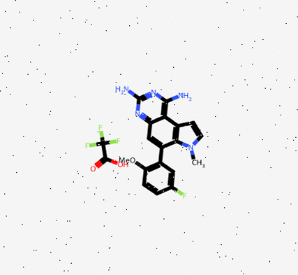 COc1ccc(F)cc1-c1cc2nc(N)nc(N)c2c2ccn(C)c12.O=C(O)C(F)(F)F